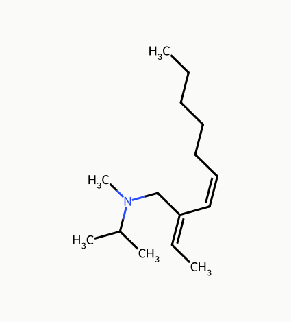 C/C=C(\C=C/CCCCC)CN(C)C(C)C